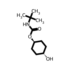 CC(C)(C)NC(=O)O[C@H]1CC[C@H](O)CC1